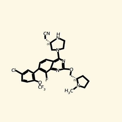 CN1CCC[C@H]1COc1nc(N2CCN[C@@H](CC#N)C2)c2ccc(-c3cc(Cl)ccc3OC(F)(F)F)c(F)c2n1